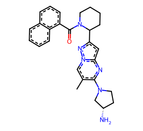 Cc1cn2nc(C3CCCCN3C(=O)c3cccc4ccccc34)cc2nc1N1CC[C@H](N)C1